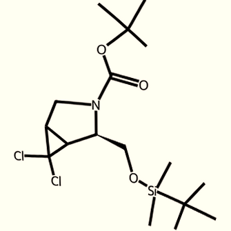 CC(C)(C)OC(=O)N1CC2C([C@@H]1CO[Si](C)(C)C(C)(C)C)C2(Cl)Cl